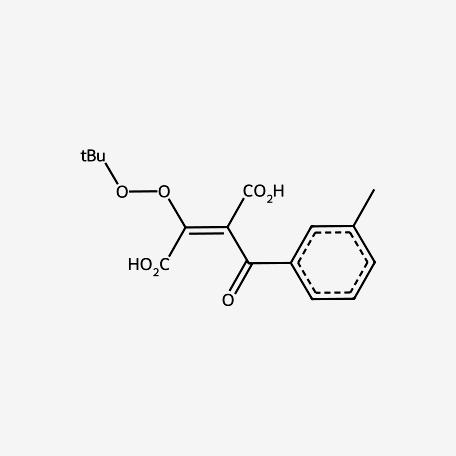 Cc1cccc(C(=O)/C(C(=O)O)=C(/OOC(C)(C)C)C(=O)O)c1